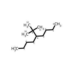 CCCCC(CCCC)C(C)(C)C